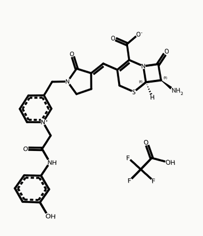 N[C@@H]1C(=O)N2C(C(=O)[O-])=C(C=C3CCN(Cc4ccc[n+](CC(=O)Nc5cccc(O)c5)c4)C3=O)CS[C@H]12.O=C(O)C(F)(F)F